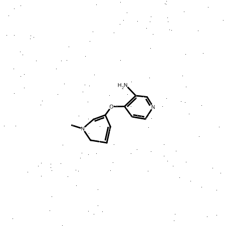 CN1C=C(Oc2ccncc2N)C=CC1